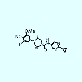 COc1cc(N2C[C@@H](C)N(C(=O)Nc3cnc(C4CC4)nc3)C[C@@H]2C)cc(F)c1C#N